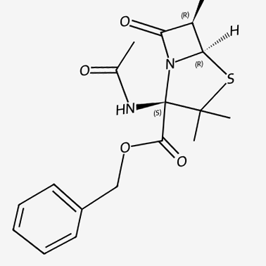 CO[C@@H]1C(=O)N2[C@@H]1SC(C)(C)[C@]2(NC(C)=O)C(=O)OCc1ccccc1